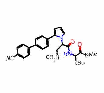 CNC(=O)C(NC(=O)C(CC(=O)O)n1cccc1-c1ccc(-c2ccc(C#N)cc2)cc1)C(C)(C)C